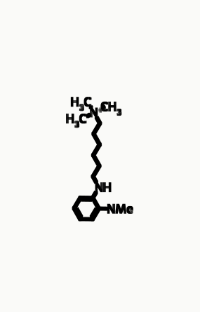 CNc1ccccc1NCCCCCC[N+](C)(C)C